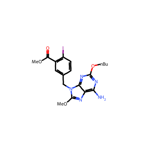 CCCCOc1nc(N)c2nc(OC)n(Cc3ccc(I)c(C(=O)OC)c3)c2n1